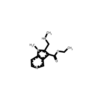 CCOC(=O)c1c(CNC)n(C)c2ccncc12